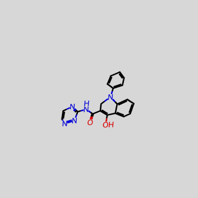 O=C(Nc1nccnn1)C1=C(O)c2ccccc2N(c2ccccc2)C1